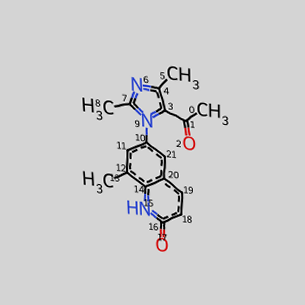 CC(=O)c1c(C)nc(C)n1-c1cc(C)c2[nH]c(=O)ccc2c1